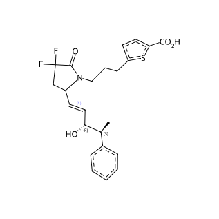 C[C@@H](c1ccccc1)[C@H](O)/C=C/C1CC(F)(F)C(=O)N1CCCc1ccc(C(=O)O)s1